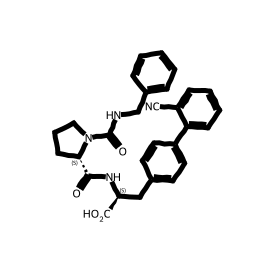 N#Cc1ccccc1-c1ccc(C[C@H](NC(=O)[C@@H]2CCCN2C(=O)NCc2ccccc2)C(=O)O)cc1